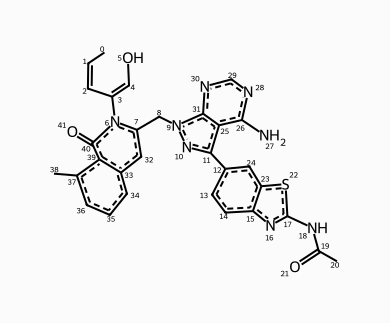 C/C=C\C(=C/O)n1c(Cn2nc(-c3ccc4nc(NC(C)=O)sc4c3)c3c(N)ncnc32)cc2cccc(C)c2c1=O